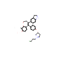 Cc1c(O)ccc2c1OCCC(c1ccc3c(c1)CCN3)=C2c1ccc(O[C@H]2CCN(CCCF)C2)cc1